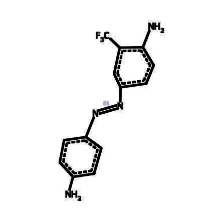 Nc1ccc(/N=N/c2ccc(N)c(C(F)(F)F)c2)cc1